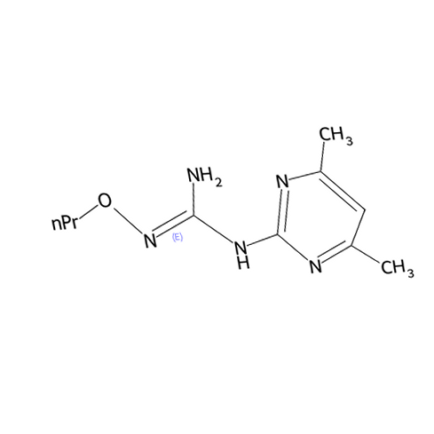 CCCO/N=C(\N)Nc1nc(C)cc(C)n1